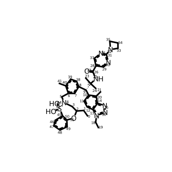 CCC1CN(Cc2cc([C@@H](c3ccc4c(nnn4CC)c3C)C(C)(C)NC(=O)c3cnc(N4CCC4)nc3)ccc2C)S(O)(O)c2ccccc2O1